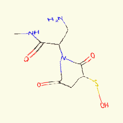 CNC(=O)C(CN)N1C(=O)CC(SO)C1=O